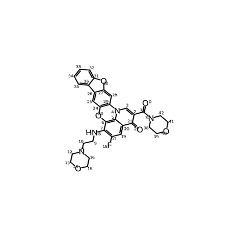 O=C(c1cn2c3c(c(NCCN4CCOCC4)c(F)cc3c1=O)Oc1cc3c(cc1-2)oc1ccccc13)N1CCOCC1